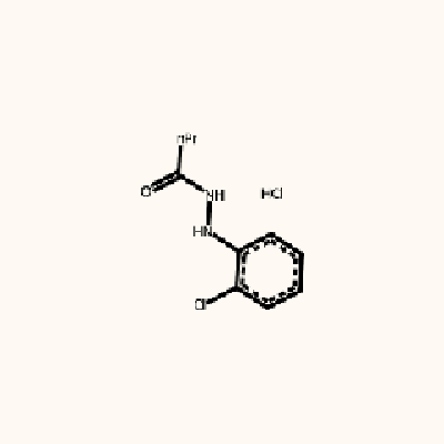 CCCC(=O)NNc1ccccc1Cl.Cl